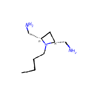 CCCCN1[C@H](CN)C[C@@H]1CN